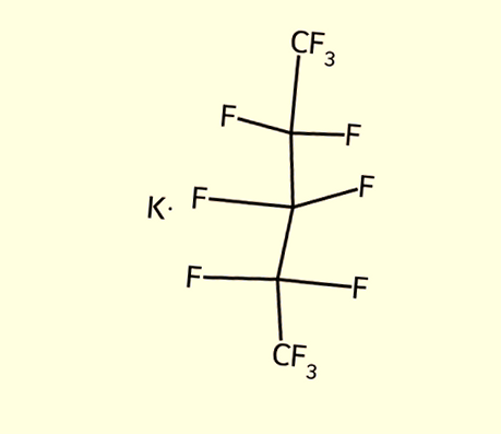 FC(F)(F)C(F)(F)C(F)(F)C(F)(F)C(F)(F)F.[K]